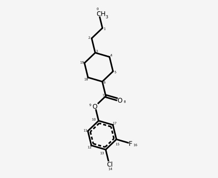 CCCC1CCC(C(=O)Oc2ccc(Cl)c(F)c2)CC1